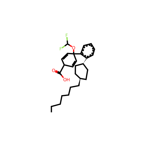 CCCCCCC[C@H]1CC[C@H](c2ccccc2C2(OC(F)F)C=CC(C(=O)O)C=C2)CC1